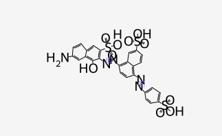 Nc1ccc2cc(S(=O)(=O)O)c(/N=N/c3ccc(/N=N/c4ccc(S(=O)(=O)O)cc4)c4ccc(S(=O)(=O)O)cc34)c(O)c2c1